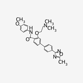 COc1ccc(NC(=O)c2ccc(-c3ccc(-c4noc(C)n4)cc3)cc2OCCN(C)C)cc1